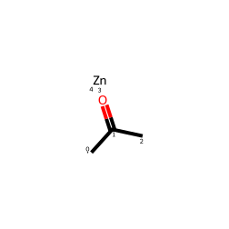 [CH2]C(C)=O.[Zn]